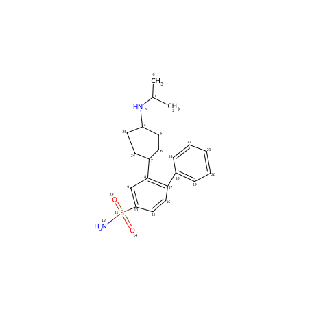 CC(C)NC1CCC(c2cc(S(N)(=O)=O)ccc2-c2ccccc2)CC1